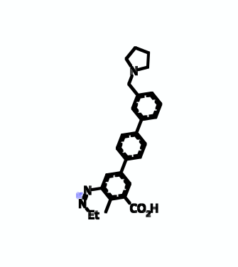 CC/N=N\c1cc(-c2ccc(-c3cccc(CN4CCCC4)c3)cc2)cc(C(=O)O)c1C